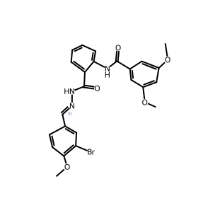 COc1cc(OC)cc(C(=O)Nc2ccccc2C(=O)N/N=C/c2ccc(OC)c(Br)c2)c1